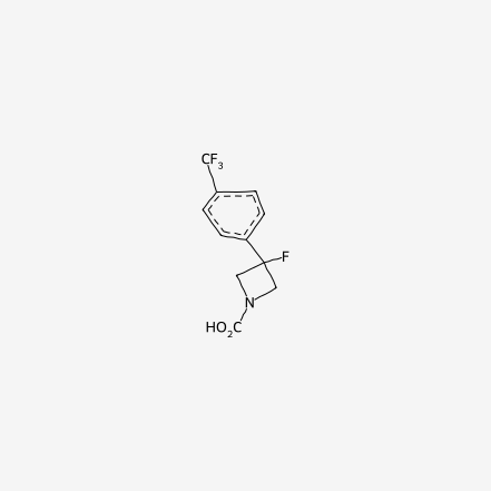 O=C(O)N1CC(F)(c2ccc(C(F)(F)F)cc2)C1